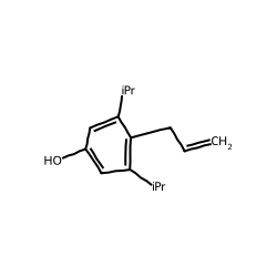 C=CCc1c(C(C)C)cc(O)cc1C(C)C